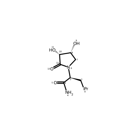 CC(C)C[C@@H](C(N)=O)N1C[C@@H](O)[C@@H](O)C1=O